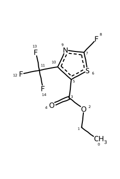 CCOC(=O)c1sc(F)nc1C(F)(F)F